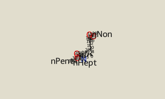 C=C(CCCN(C)C)CC(CCCCC(C)(C)C(=O)OCCCCCCCCC)CCCCC(C)(C)C(=O)OCC(CCCCC)CCCCCCC